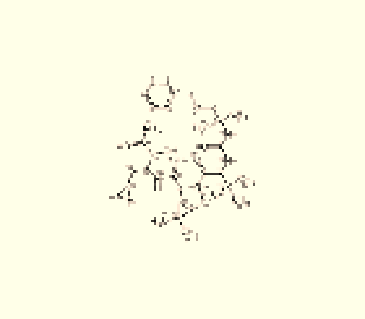 CC(C)(COCc1ccccc1)NC(=O)N[C@H](C(=O)N1CC2C([C@H]1C(=O)NC(CC1CC1)C(O)C(N)=O)C2(C)C)C(C)(C)C